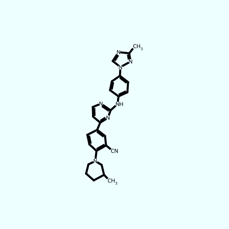 Cc1ncn(-c2ccc(Nc3nccc(-c4ccc(N5CCCC(C)C5)c(C#N)c4)n3)cc2)n1